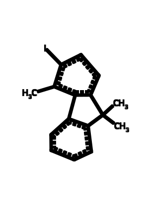 Cc1c(I)ccc2c1-c1ccccc1C2(C)C